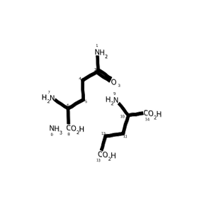 N.NC(=O)CCC(N)C(=O)O.NC(CCC(=O)O)C(=O)O